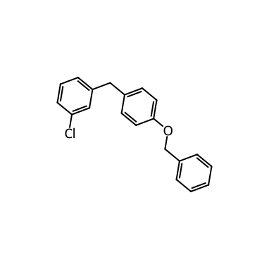 Clc1cccc(Cc2ccc(OCc3ccccc3)cc2)c1